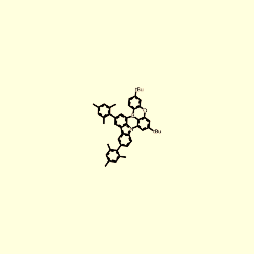 Cc1cc(C)c(-c2ccc3c(c2)c2cc(-c4c(C)cc(C)cc4C)cc4c2n3-c2cc(C(C)(C)C)cc3c2B4c2ccc(C(C)(C)C)cc2O3)c(C)c1